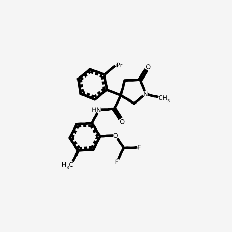 Cc1ccc(NC(=O)C2(c3ccccc3C(C)C)CC(=O)N(C)C2)c(OC(F)F)c1